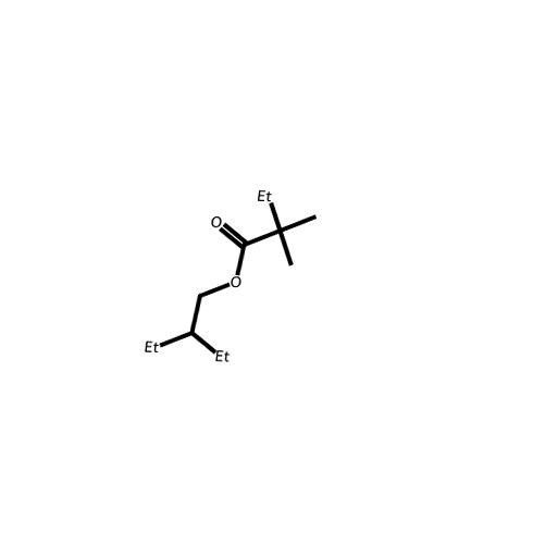 CCC(CC)COC(=O)C(C)(C)CC